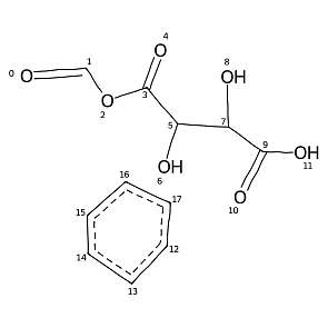 O=COC(=O)C(O)C(O)C(=O)O.c1ccccc1